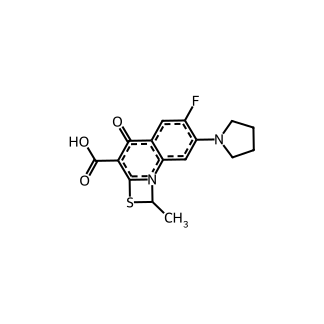 CC1Sc2c(C(=O)O)c(=O)c3cc(F)c(N4CCCC4)cc3n21